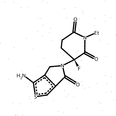 CCN1C(=O)CC[C@@](F)(N2Cc3c(csc3N)C2=O)C1=O